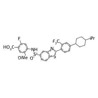 COc1cc(C(=O)O)c(F)cc1N[S+]([O-])c1ccc2sc(-c3ccc(C4CCC(C(C)C)CC4)cc3C(F)(F)F)nc2c1